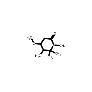 COC1CC(=O)N(C)C(C)(C)C1C